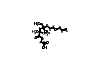 CCC(C)(CC(C)(C)C(=O)OCC(=O)O)OCCOCC=O